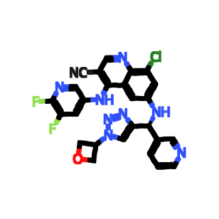 N#Cc1cnc2c(Cl)cc(N[C@@H](c3cccnc3)c3cn(C4COC4)nn3)cc2c1Nc1cnc(F)c(F)c1